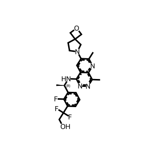 Cc1nc2c(C)nnc(N[C@H](C)c3cccc(C(F)(F)CO)c3F)c2cc1N1CCC2(COC2)C1